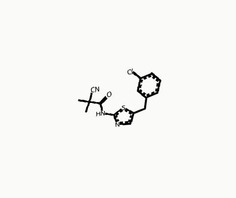 CC(C)(C#N)C(=O)Nc1ncc(Cc2cccc(Cl)c2)s1